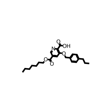 CCCCCCCOC(=O)c1cnc(C(=O)O)c(OCc2ccc(CCC)cc2)c1